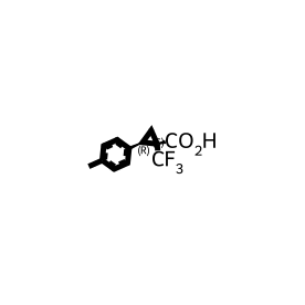 Cc1ccc([C@H]2C[C@]2(C(=O)O)C(F)(F)F)cc1